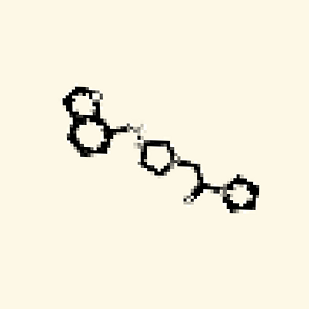 O=C(CN1CC[C@H](Nc2cccc3ccoc23)C1)n1cccc1